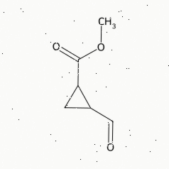 COC(=O)C1CC1C=O